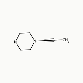 CC#CN1CC[N]CC1